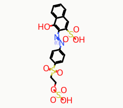 O=S(=O)(O)OCCS(=O)(=O)c1ccc(/N=N/c2c(S(=O)(=O)O)cc3ccccc3c2O)cc1